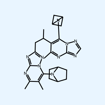 Cc1nc2nc(CC(C)c3c(C)nc4ncnn4c3N3CC4CC3C4)nn2c(N2C3CCC2CC3)c1C